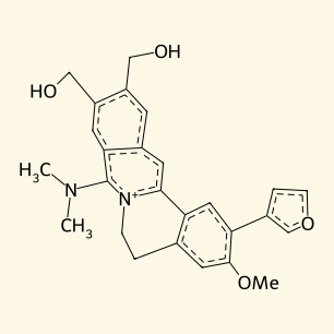 COc1cc2c(cc1-c1ccoc1)-c1cc3cc(CO)c(CO)cc3c(N(C)C)[n+]1CC2